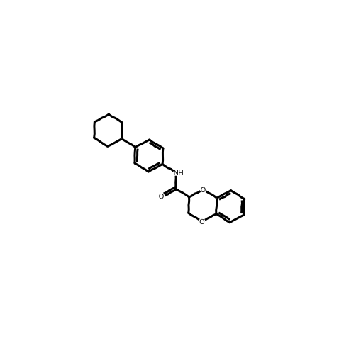 O=C(Nc1ccc(C2CCCCC2)cc1)C1COc2ccccc2O1